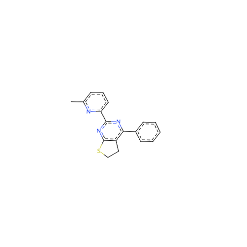 Cc1cccc(-c2nc3c(c(-c4ccccc4)n2)CCS3)n1